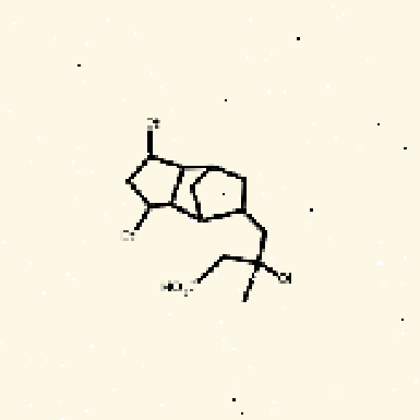 CCC1CC(CC)C2C3CC(CC3CC(C)(O)CC(=O)O)C12